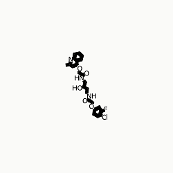 Cc1cc(OCC(=O)NC[C@@H](O)CCNC(=O)COc2ccc(Cl)c(F)c2)c2ccccc2n1